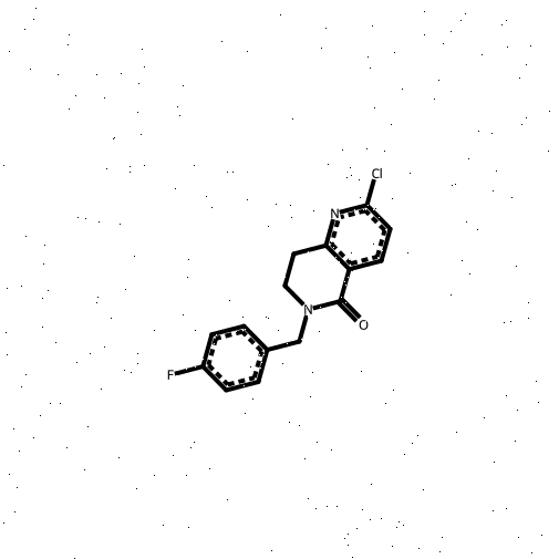 O=C1c2ccc(Cl)nc2CCN1Cc1ccc(F)cc1